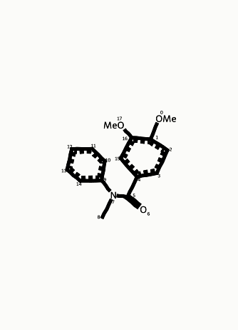 COc1ccc(C(=O)N(C)c2ccccc2)cc1OC